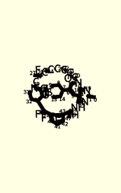 Cc1nc2c3cc(C4CCS(=O)(=O)CC4)c(=O)n(c3n1)CCCCCCC(C)(F)CN1CCC(CC1)C(F)(F)c1cccc(c1F)[C@@H](C)N2